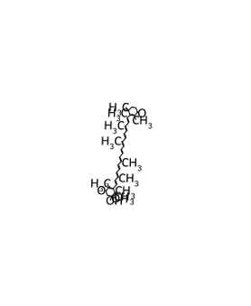 CC1=C(/C=C/C(C)=C/C=C/C(C)=C/C=C/C=C(C)/C=C/C=C(C)/C=C/C2=C(C)C(=O)CC(O)(O)C2(C)C)C(C)(C)CCC1=O